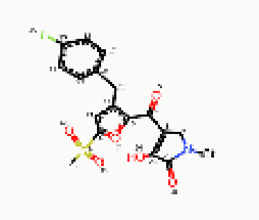 CCN1CC(C(=O)c2oc(S(C)(=O)=O)cc2Cc2ccc(F)cc2)=C(O)C1=O